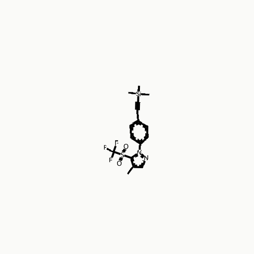 Cc1cnn(-c2ccc(C#C[Si](C)(C)C)cc2)c1S(=O)(=O)C(F)(F)F